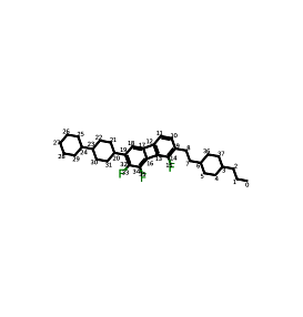 CCCC1CCC(CCc2ccc3c(c2F)-c2c-3cc(C3CCC(C4CCCCC4)CC3)c(F)c2F)CC1